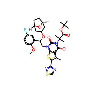 COc1ccc(F)cc1C(Cn1c(=O)n(C(C)(C)C(=O)OC(C)(C)C)c(=O)c2c(C)c(-c3ncsn3)sc21)OC1C[C@H]2CC[C@@H](C1)O2